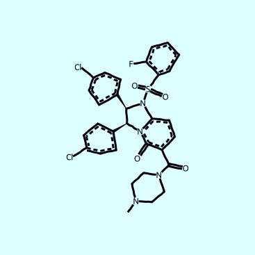 CN1CCN(C(=O)c2ccc3n(c2=O)[C@@H](c2ccc(Cl)cc2)[C@@H](c2ccc(Cl)cc2)N3S(=O)(=O)c2ccccc2F)CC1